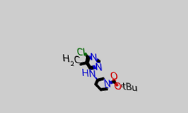 C=Cc1c(Cl)ncnc1N[C@@H]1CCCN(C(=O)OC(C)(C)C)C1